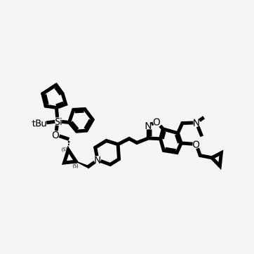 CN(C)Cc1c(OCC2CC2)ccc2c(CCC3CCN(C[C@H]4C[C@@H]4CO[Si](c4ccccc4)(c4ccccc4)C(C)(C)C)CC3)noc12